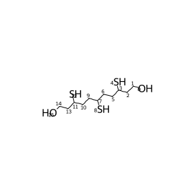 OCCC(S)CCC(S)CCC(S)CCO